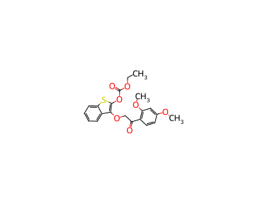 CCOC(=O)Oc1sc2ccccc2c1OCC(=O)c1ccc(OC)cc1OC